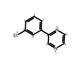 CCc1cccc(-c2cnccn2)c1